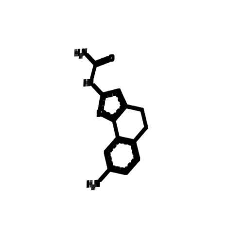 NC(=O)Nc1cc2c(s1)-c1cc(N)ccc1CC2